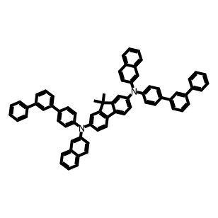 CC1(C)c2cc(N(c3ccc(-c4cccc(-c5ccccc5)c4)cc3)c3ccc4ccccc4c3)ccc2-c2ccc(N(c3ccc(-c4cccc(-c5ccccc5)c4)cc3)c3ccc4ccccc4c3)cc21